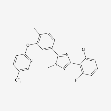 Cc1ccc(-c2nc(-c3c(F)cccc3Cl)nn2C)cc1Oc1ccc(C(F)(F)F)cn1